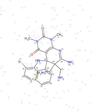 Cn1c2c(c(=O)n(C)c1=O)C(Nc1sccc1Br)(c1ccccc1)C(CN)(CN)C(N)=N2